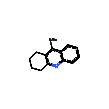 [11CH3]Nc1c2c(nc3ccccc13)CCCC2